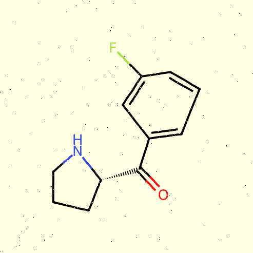 O=C(c1cccc(F)c1)[C@@H]1CCCN1